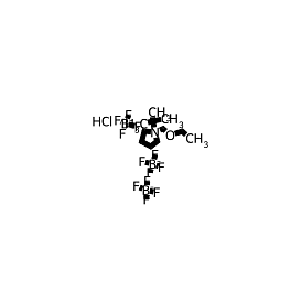 CCOC[N+]1(C(C)(C)C)CCCC1.Cl.F[B-](F)(F)F.F[B-](F)(F)F.F[B-](F)(F)F